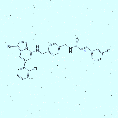 O=C(/C=C/c1cccc(Cl)c1)NCc1ccc(CNc2cc(-c3ccccc3Cl)nc3c(Br)ccn23)cc1